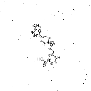 Cc1nnc(-c2ccc(OCC[C@@H]3CN(C(=O)O)CCN3)cc2)o1.Cl